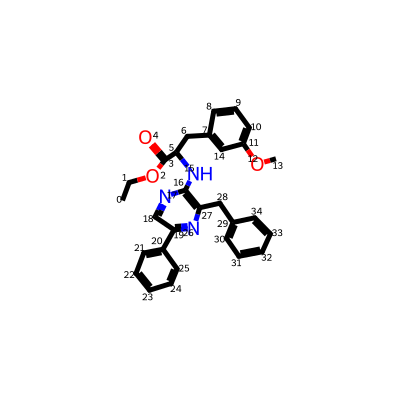 CCOC(=O)C(Cc1cccc(OC)c1)Nc1ncc(-c2ccccc2)nc1Cc1ccccc1